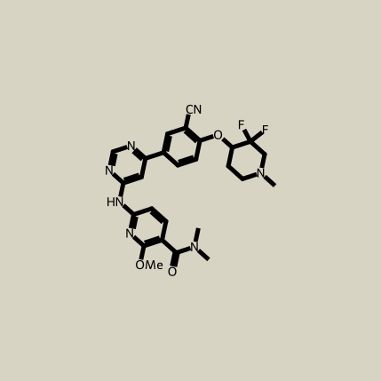 COc1nc(Nc2cc(-c3ccc(OC4CCN(C)CC4(F)F)c(C#N)c3)ncn2)ccc1C(=O)N(C)C